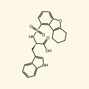 O=C(O)[C@@H](Cc1c[nH]c2ccccc12)NS(=O)(=O)c1cccc2oc3c(c12)CCCC3